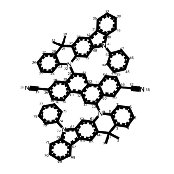 CC1(C)c2ccccc2N(c2cc3c4ccc(C#N)cc4c(N4c5ccccc5C(C)(C)c5cc6c7ccccc7n(-c7ccccc7)c6cc54)cc3c3ccc(C#N)cc23)c2cc3c(cc21)c1ccccc1n3-c1ccccc1